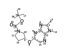 Cn1c(I)nc2nc(O[C@@H]3CCN(C(=O)OC(C)(C)C)C3)cnc21